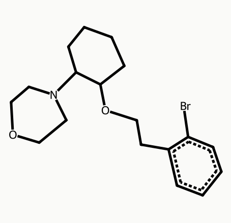 Brc1ccccc1CCOC1CCCCC1N1CCOCC1